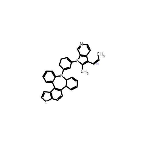 C/C=C\c1c(C)n(C2=CCCC(N3c4ccccc4-c4c(ccc5sccc45)C4C=CC=CC43)=C2)c2cnccc12